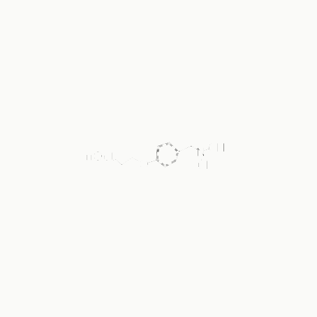 CCCCCCCCCCOc1ccc(CN(C)C)cc1